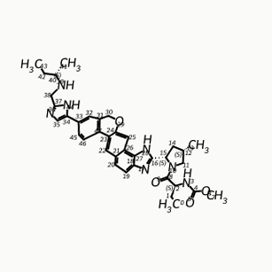 CC[C@H](NC(=O)OC)C(=O)N1C[C@@H](C)C[C@H]1c1nc2ccc3cc4c(cc3c2[nH]1)OCc1cc(-c2cnc(CN[C@@H](C)CC)[nH]2)ccc1-4